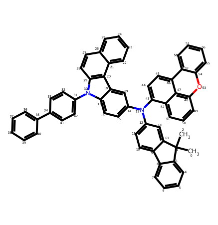 CC1(C)c2ccccc2-c2ccc(N(c3ccc4c(c3)c3c5ccccc5ccc3n4-c3ccc(-c4ccccc4)cc3)c3ccc4c5c(cccc35)Oc3ccccc3-4)cc21